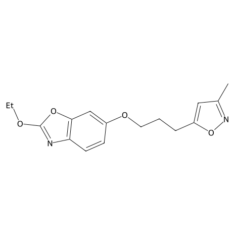 CCOc1nc2ccc(OCCCc3cc(C)no3)cc2o1